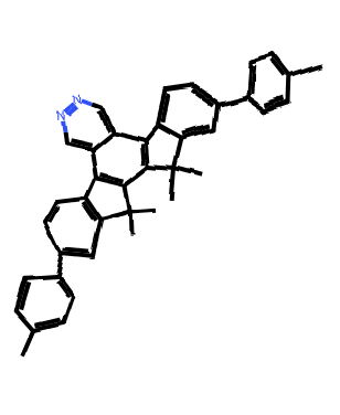 Cc1ccc(-c2ccc3c(c2)C(C)(C)c2c4c(c5cnncc5c2-3)-c2ccc(-c3ccc(C)cc3)cc2C4(C)C)cc1